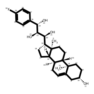 C[C@]12CC[C@H]3[C@@H](CC=C4C[C@@H](O)CC[C@@]43C)[C@@H]1CC[C@@H]2[C@H](O)[C@@H](O)[C@@H](O)c1ccc(F)cc1